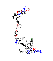 Cc1c(C#Cc2cnn(CCOCCOCCOCC#Cc3cccc4c3CN(C3CCC(=O)NC3=O)C4=O)c2C)sc2c1C(c1ccc(Cl)cc1)=N[C@@H](CC(N)=O)c1nnc(C)n1-2